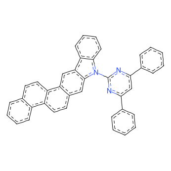 c1ccc(-c2cc(-c3ccccc3)nc(-n3c4ccccc4c4cc5c(ccc6c7ccccc7ccc56)cc43)n2)cc1